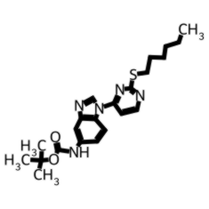 CCCCCCSc1nccc(-n2cnc3cc(NC(=O)OC(C)(C)C)ccc32)n1